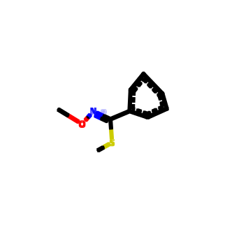 CO/N=C(\SC)c1ccccc1